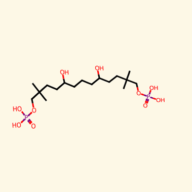 CC(C)(CCC(O)CCCC(O)CCC(C)(C)COP(=O)(O)O)COP(=O)(O)O